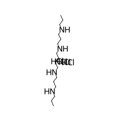 CCCNCCCNCC=CCNCCCNCCC.Cl.Cl.Cl.Cl